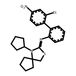 CCc1cc([N+](=O)[O-])ccc1-c1ccccc1N=C1SCC2(CCCC2)N1C1CCCC1